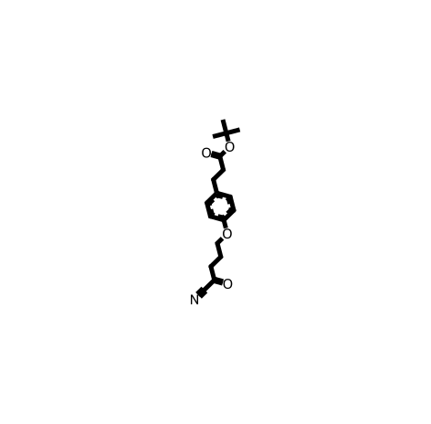 CC(C)(C)OC(=O)CCc1ccc(OCCCC(=O)C#N)cc1